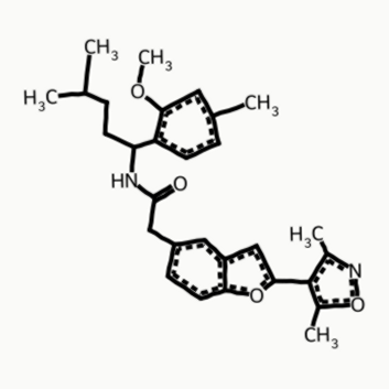 COc1cc(C)ccc1C(CCC(C)C)NC(=O)Cc1ccc2oc(-c3c(C)noc3C)cc2c1